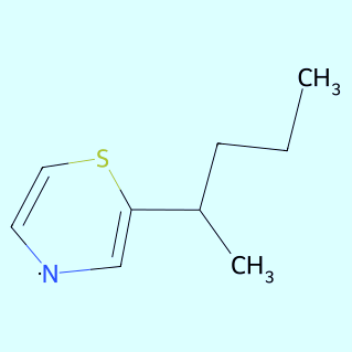 CCCC(C)C1=C[N]C=CS1